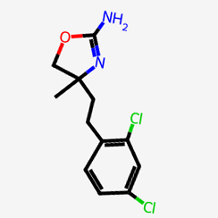 CC1(CCc2ccc(Cl)cc2Cl)COC(N)=N1